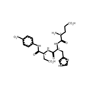 N[C@@H](CCC(=O)O)C(=O)N[C@@H](Cc1c[nH]cn1)C(=O)N[C@@H](CC(=O)O)C(=O)Nc1ccc([N+](=O)[O-])cc1